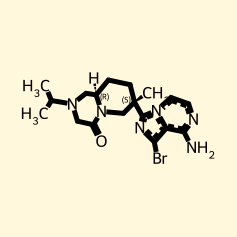 CC(C)N1CC(=O)N2C[C@@](C)(c3nc(Br)c4c(N)nccn34)CC[C@@H]2C1